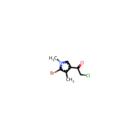 Cc1c(C(=O)CCl)cn(C)c1Br